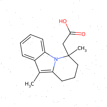 Cc1c2n(c3ccccc13)C(C)(CC(=O)O)CCC2